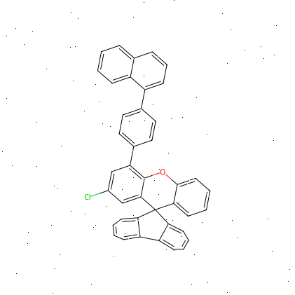 Clc1cc(-c2ccc(-c3cccc4ccccc34)cc2)c2c(c1)C1(c3ccccc3O2)c2ccccc2-c2ccccc21